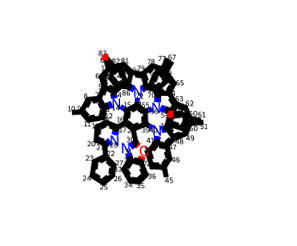 Cc1ccc2c(c1)c1cc(C)ccc1n2-c1c(-c2cccc(-c3ccccc3)n2)c(-c2nc3ccccc3o2)c(-n2c3ccc(C)cc3c3cc(C)ccc32)c(-n2c3ccc(C)cc3c3cc(C)ccc32)c1-n1c2ccc(C)cc2c2cc(C)ccc21